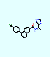 C[C@@H](NC(=O)c1ccc2c(-c3ccc(C(F)(F)F)cc3)cccc2c1)c1c[nH]cn1